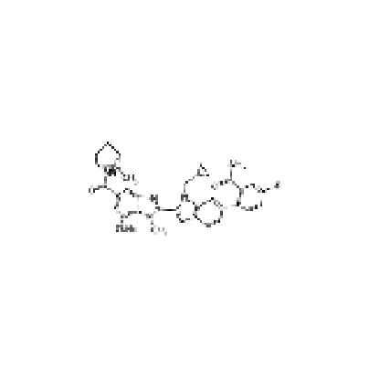 COc1cc(C(=O)N2CC3CCC2[C@@H]3C)cc2nc(-c3cc4ccc(-c5ccc(F)cc5C(N)=O)cc4n3CC3CC3)n(C)c12